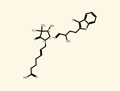 CC1(C)C(=O)[C@H](CC=CCCCC(=O)O)[C@@H](C=CC(O)CCc2sc3ccccc3c2Cl)[C@@H]1O